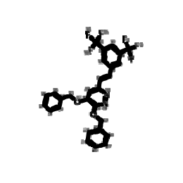 FC(F)(F)c1cc(C=Cc2cc(OCc3ccccc3)c(OCc3ccccc3)nn2)cc(C(F)(F)F)c1